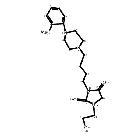 COc1ccccc1N1CCN(CCCCN2C(=O)CN(CCO)C2=O)CC1